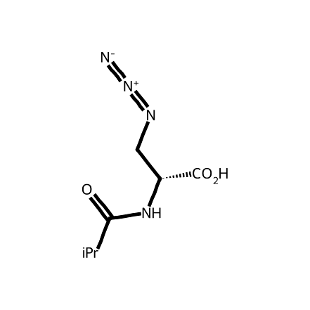 CC(C)C(=O)N[C@H](CN=[N+]=[N-])C(=O)O